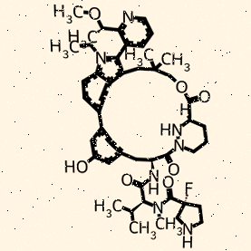 CCn1c(-c2cccnc2[C@H](C)OC)c2c3cc(ccc31)-c1cc(O)cc(c1)C[C@H](NC(=O)[C@H](C(C)C)N(C)C(=O)[C@@]1(F)CCNC1)C(=O)N1CCC[C@H](N1)C(=O)OCC(C)(C)C2